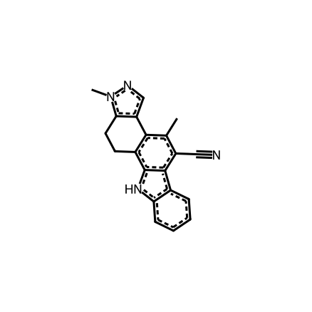 Cc1c2c(c3[nH]c4ccccc4c3c1C#N)CCc1c-2cnn1C